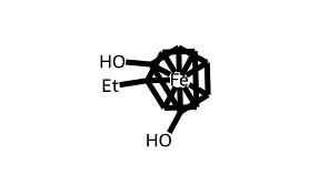 CC[C]12[CH]3[CH]4[CH]5[CH]1[Fe]45321678[CH]2[CH]1[C]6(O)[C]7(O)[CH]28